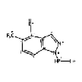 FC(F)(F)c1ccc2c(cnn2PI)c1Br